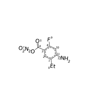 CCc1cc(C(=O)O[N+](=O)[O-])c(F)cc1N